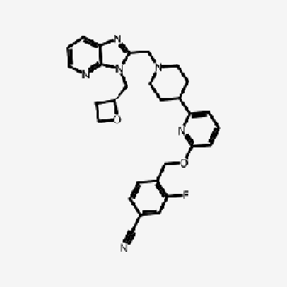 N#Cc1ccc(COc2cccc(C3CCN(Cc4nc5cccnc5n4C[C@@H]4CCO4)CC3)n2)c(F)c1